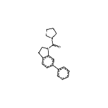 O=C(N1CCCC1)N1CCc2ccc(-c3ccccc3)cc21